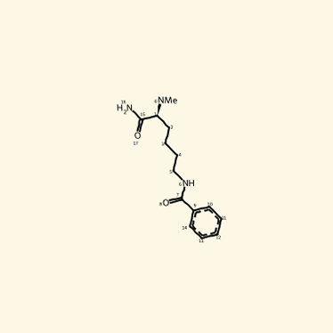 CN[C@@H](CCCCNC(=O)c1ccccc1)C(N)=O